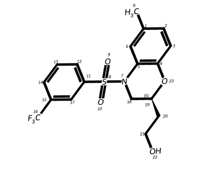 Cc1ccc2c(c1)N(S(=O)(=O)c1cccc(C(F)(F)F)c1)C[C@H](CCO)O2